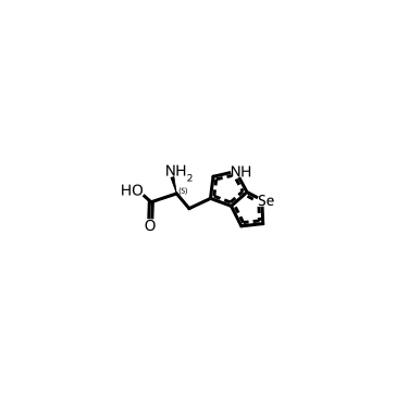 N[C@@H](Cc1c[nH]c2[se]ccc12)C(=O)O